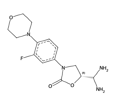 NC(N)[C@H]1CN(c2ccc(N3CCOCC3)c(F)c2)C(=O)O1